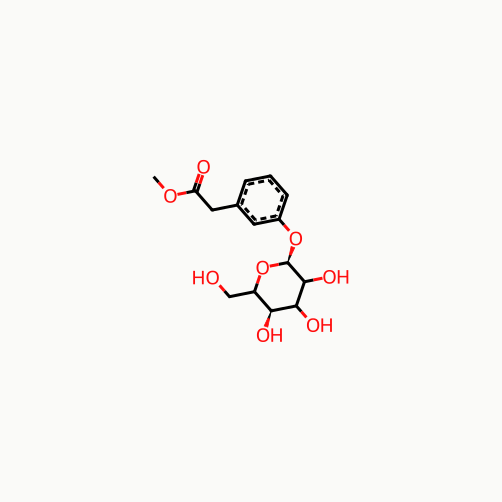 COC(=O)Cc1cccc(O[C@@H]2OC(CO)[C@H](O)C(O)C2O)c1